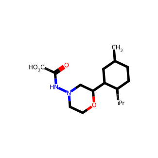 CC1CCC(C(C)C)C(C2CN(NC(=O)C(=O)O)CCO2)C1